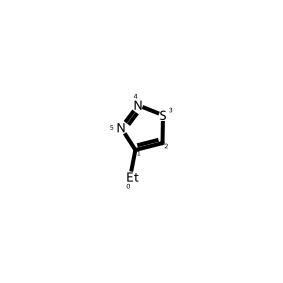 [CH2]Cc1csnn1